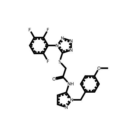 COc1ccc(Cn2nccc2NC(=O)CSc2nnnn2-c2c(F)ccc(F)c2F)cc1